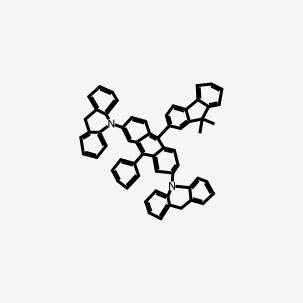 CC1(C)c2ccccc2-c2ccc(-c3c4ccc(N5c6ccccc6Cc6ccccc65)cc4c(-c4ccccc4)c4cc(N5c6ccccc6Cc6ccccc65)ccc34)cc21